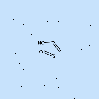 C=CC#N.[S]=[Cd]